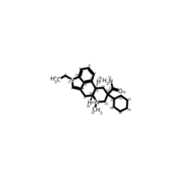 CCn1cc2c3c(cccc31)[C@H]1CC(C(N)=O)(C3CCCCC3)CN(C)[C@@H]1C2